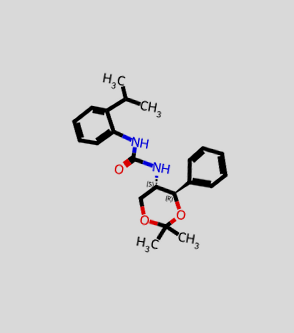 CC(C)c1ccccc1NC(=O)N[C@H]1COC(C)(C)O[C@@H]1c1ccccc1